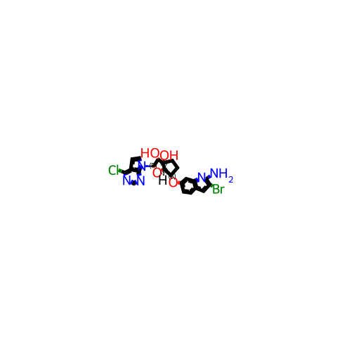 Nc1nc2cc(O[C@H]3CC[C@]4(O)C(O)[C@H](n5ccc6c(Cl)ncnc65)O[C@H]34)ccc2cc1Br